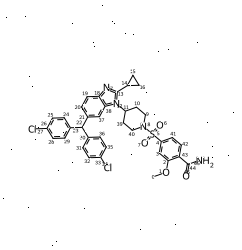 COc1cc(S(=O)(=O)N2CCC(n3c(C4CC4)nc4ccc(C(c5ccc(Cl)cc5)c5ccc(Cl)cc5)cc43)CC2)ccc1C(N)=O